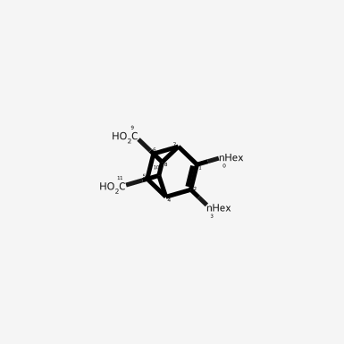 CCCCCCC1=C(CCCCCC)C2CCC1C(C(=O)O)C2C(=O)O